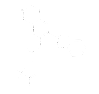 CC(=O)Nc1cc2c(cc1-c1nc3ccccc3s1)CCNC2.O=C(O)C(F)(F)F